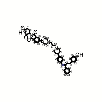 O=C1CCC(N2C(=O)c3ccc(N4CCN(CCCN5CCC(c6ccc(/C=C(\CCc7ccc(O)cc7)c7ccccc7)cc6)CC5)CC4)cc3C2=O)C(=O)N1